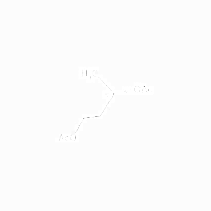 CC(=O)OCC[C@H](C)OC(C)=O